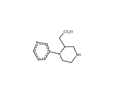 CCOC(=O)CC1CNCCN1c1[c]nccc1